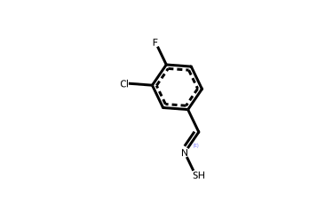 Fc1ccc(/C=N/S)cc1Cl